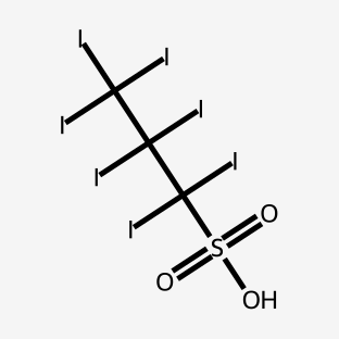 O=S(=O)(O)C(I)(I)C(I)(I)C(I)(I)I